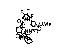 COC(=O)N1C[C@H](O)C[C@H]1C(=O)NCSC1(O)C2CCC1CC(S(=O)(=O)c1cc(C(=O)Nc3cc(F)c(F)c(F)c3)ccc1Cl)C2